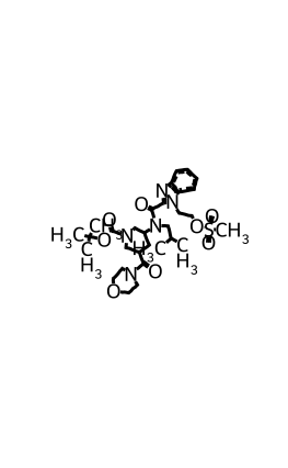 CC(C)CN(C(=O)c1nc2ccccc2n1CCOS(C)(=O)=O)C1CC(C(=O)N2CCOCC2)CN(C(=O)OC(C)(C)C)C1